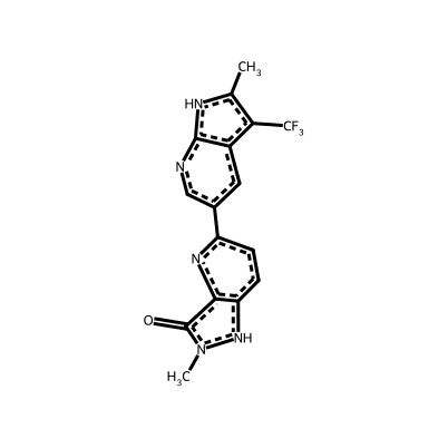 Cc1[nH]c2ncc(-c3ccc4[nH]n(C)c(=O)c4n3)cc2c1C(F)(F)F